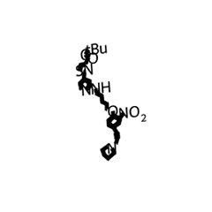 CC(C)(C)OC(=O)c1csc(-c2ccnc(NCCCCCOc3ccc(C#CCN4CCCCC4)cc3[N+](=O)[O-])c2)n1